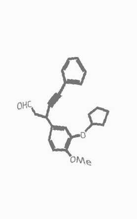 COc1ccc(C(C#Cc2ccccc2)CC=O)cc1OC1CCCC1